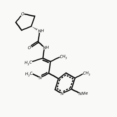 C/N=C(\C(C)=C(/C)NC(=O)N[C@@H]1CCOC1)c1cnc(NC)c(C)c1